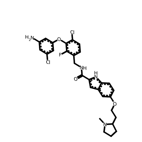 CN1CCCC1CCOc1ccc2[nH]c(C(=O)NCc3ccc(Cl)c(Oc4cc(N)cc(Cl)c4)c3F)cc2c1